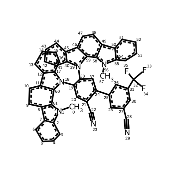 Cn1c2ccccc2c2ccc3c4ccccc4n(-c4cc(C#N)c(-c5cc(C#N)cc(C(F)(F)F)c5)cc4-n4c5ccccc5c5ccc6c7ccccc7n(C)c6c54)c3c21